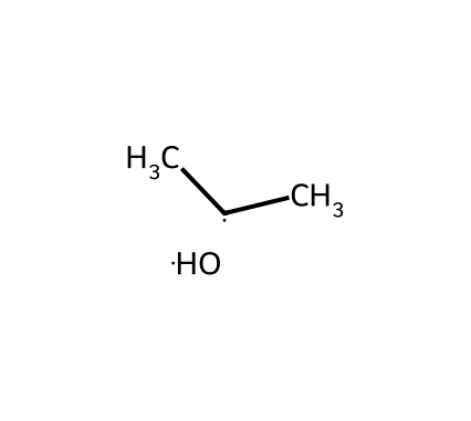 C[CH]C.[OH]